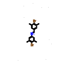 Cc1cc(/C=N/c2cc(C)c(Br)c(C)c2)cc(C)c1Br